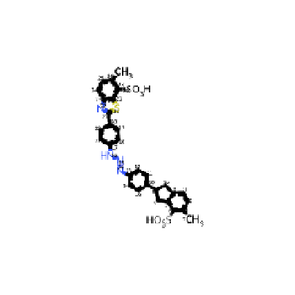 Cc1ccc2c(c1S(=O)(=O)O)CC(c1ccc(/N=N/Nc3ccc(-c4nc5ccc(C)c(S(=O)(=O)O)c5s4)cc3)cc1)C2